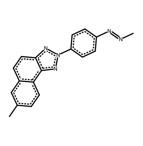 CN=Nc1ccc(-n2nc3ccc4cc(C)ccc4c3n2)cc1